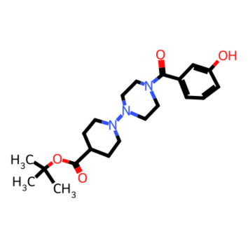 CC(C)(C)OC(=O)C1CCN(N2CCN(C(=O)c3cccc(O)c3)CC2)CC1